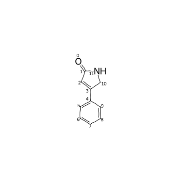 O=C1C=C(c2ccccc2)CN1